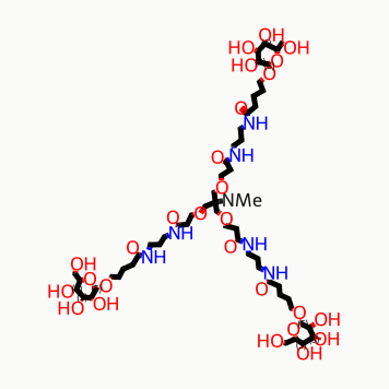 CNC(COCCC(=O)NCCCNC(=O)CCCCO[C@H]1OC(CO)[C@@H](O)[C@H](O)C1O)(COCCC(=O)NCCCNC(=O)CCCCO[C@H]1OC(CO)[C@@H](O)[C@H](O)C1O)COCCC(=O)NCCCNC(=O)CCCCO[C@H]1OC(CO)[C@@H](O)C(O)[C@H]1O